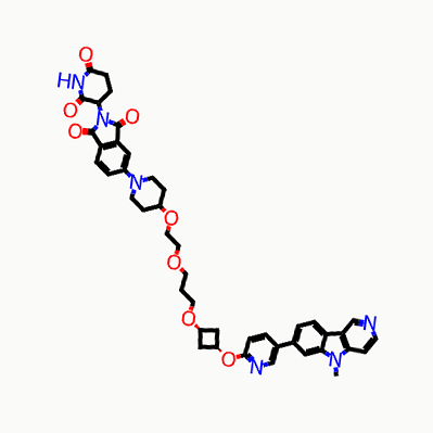 Cn1c2ccncc2c2ccc(-c3ccc(O[C@H]4C[C@H](OCCCOCCOC5CCN(c6ccc7c(c6)C(=O)N(C6CCC(=O)NC6=O)C7=O)CC5)C4)nc3)cc21